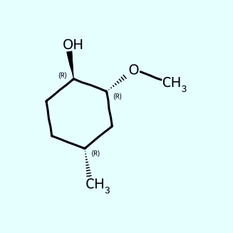 CO[C@@H]1C[C@H](C)CC[C@H]1O